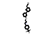 N#CCc1cccc(-c2cccc(OC/C=C/c3ccc(C(F)(F)F)cc3)c2)c1